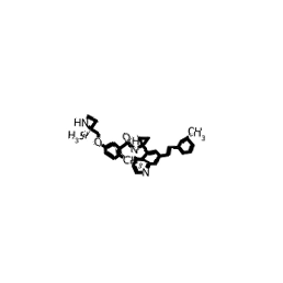 Cc1cccc(/C=C/c2cc(C3(NC(=O)c4cc(OC[C@]5([SiH3])CCN5)ccc4C)CC3)c3cccnc3c2)c1